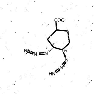 [N-]=[N+]=N[C@@H]1CC(C(=O)[O-])CC[C@H]1N=[N+]=N